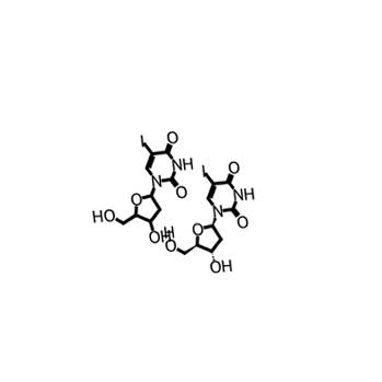 O=c1[nH]c(=O)n(C2CC(O)C(CO)O2)cc1I.O=c1[nH]c(=O)n([C@H]2C[C@H](O)[C@@H](CO)O2)cc1I